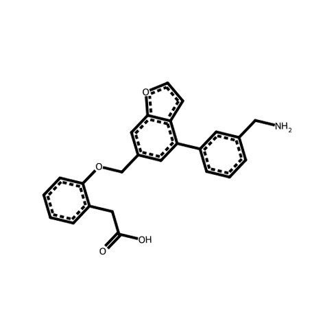 NCc1cccc(-c2cc(COc3ccccc3CC(=O)O)cc3occc23)c1